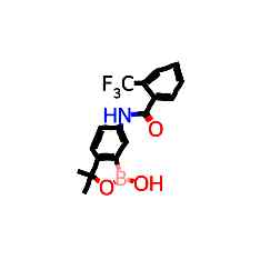 CC1(C)OB(O)c2cc(NC(=O)c3ccccc3C(F)(F)F)ccc21